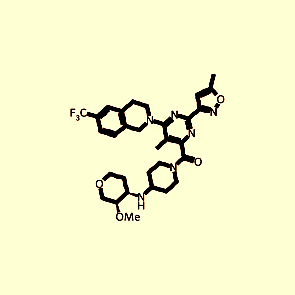 CO[C@H]1COCC[C@H]1NC1CCN(C(=O)c2nc(-c3cc(C)on3)nc(N3CCc4cc(C(F)(F)F)ccc4C3)c2C)CC1